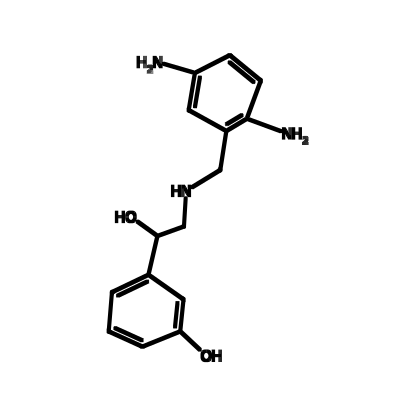 Nc1ccc(N)c(CNCC(O)c2cccc(O)c2)c1